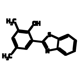 Cc1cc(C)c(O)c(-c2nc3ccccc3s2)c1